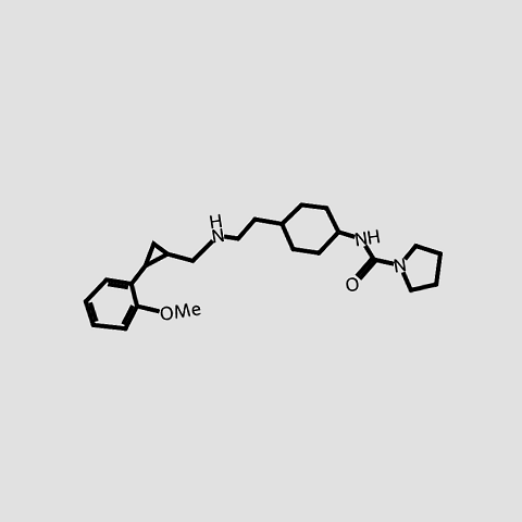 COc1ccccc1C1CC1CNCCC1CCC(NC(=O)N2CCCC2)CC1